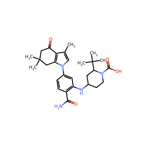 Cc1cn(-c2ccc(C(N)=O)c(NC3CCN(C(=O)O)C(C(C)(C)C)C3)c2)c2c1C(=O)CC(C)(C)C2